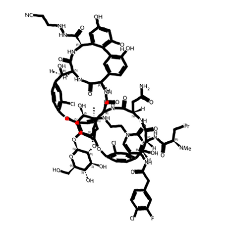 CN[C@H](CC(C)C)C(=O)N[C@H]1C(=O)N[C@@H](CC(N)=O)C(=O)N[C@H]2C(=O)N[C@H]3C(=O)N[C@H](C(=O)N[C@@H](C(=O)NNCCC#N)c4cc(O)cc(O)c4-c4cc3ccc4O)[C@H](O)c3ccc(c(Cl)c3)Oc3cc2cc(c3O[C@@H]2O[C@H](CO)[C@@H](O)[C@H](O)[C@H]2O[C@H]2C[C@](C)(NCCn3ccc(NC(=O)Cc4ccc(Cl)c(F)c4)nc3=O)[C@H](O)[C@H](C)O2)Oc2ccc(cc2Cl)[C@H]1O